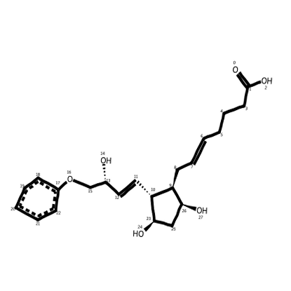 O=C(O)CCCC=CC[C@@H]1[C@@H](C=C[C@@H](O)COc2ccccc2)[C@H](O)C[C@@H]1O